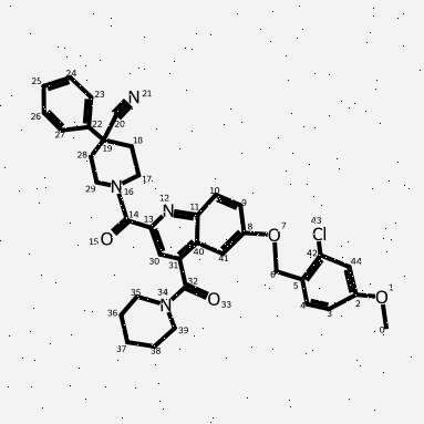 COc1ccc(COc2ccc3nc(C(=O)N4CCC(C#N)(c5ccccc5)CC4)cc(C(=O)N4CCCCC4)c3c2)c(Cl)c1